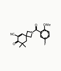 COc1ccc(F)cc1C(=O)N1CC2(C=C(C#N)C(=O)C(C)(C)C2)C1